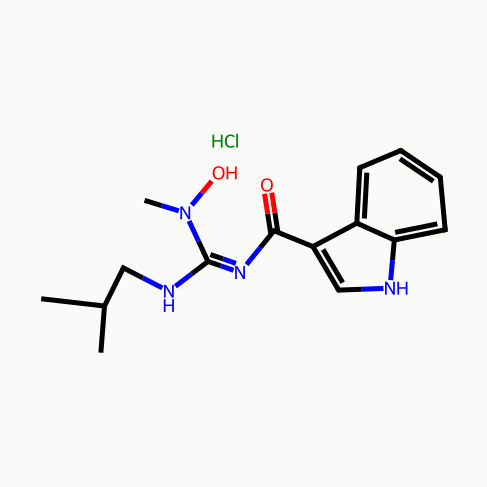 CC(C)CNC(=NC(=O)c1c[nH]c2ccccc12)N(C)O.Cl